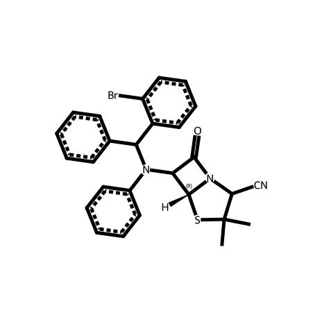 CC1(C)S[C@@H]2C(N(c3ccccc3)C(c3ccccc3)c3ccccc3Br)C(=O)N2C1C#N